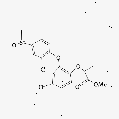 COC(=O)C(C)Oc1ccc(Cl)cc1Oc1ccc([S+](C)[O-])cc1Cl